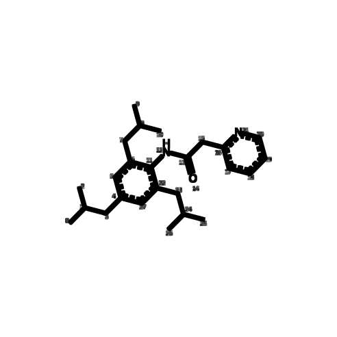 CC(C)Cc1cc(CC(C)C)c(NC(=O)Cc2ccccn2)c(CC(C)C)c1